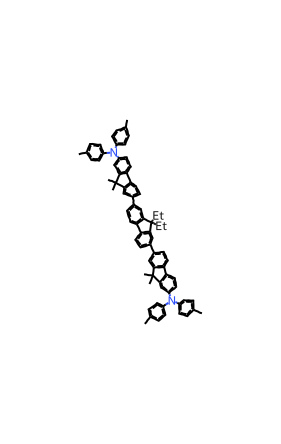 CCC1(CC)c2cc(-c3ccc4c(c3)C(C)(C)c3cc(N(c5ccc(C)cc5)c5ccc(C)cc5)ccc3-4)ccc2-c2ccc(-c3ccc4c(c3)C(C)(C)c3cc(N(c5ccc(C)cc5)c5ccc(C)cc5)ccc3-4)cc21